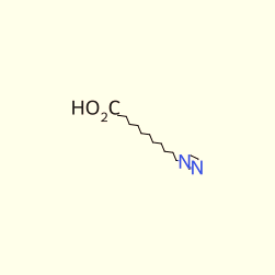 O=C(O)CCCCCCCCCCCN1C=NCC1